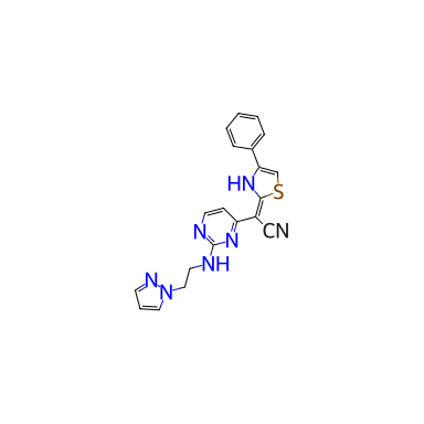 N#C/C(=C1/NC(c2ccccc2)=CS1)c1ccnc(NCCn2cccn2)n1